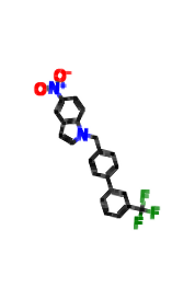 O=[N+]([O-])c1ccc2c(ccn2Cc2ccc(-c3cccc(C(F)(F)F)c3)cc2)c1